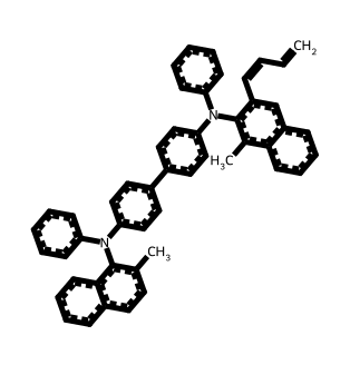 C=C/C=C\c1cc2ccccc2c(C)c1N(c1ccccc1)c1ccc(-c2ccc(N(c3ccccc3)c3c(C)ccc4ccccc34)cc2)cc1